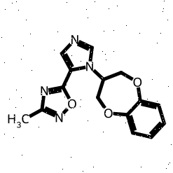 Cc1noc(-c2cncn2C2COc3ccccc3OC2)n1